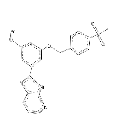 CC(C)Oc1cc(OCc2ccc(S(C)(=O)=O)cc2)cc(-c2nc3cccnc3[nH]2)c1